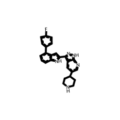 Fc1ccc(-c2cccc3[nH]c(-c4n[nH]c5ncc(C6CCNCC6)cc45)cc23)cc1